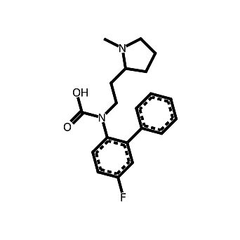 CN1CCCC1CCN(C(=O)O)c1ccc(F)cc1-c1ccccc1